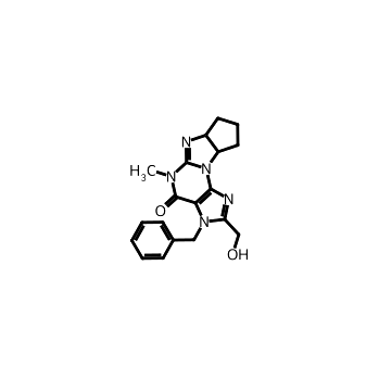 CN1C(=O)c2c(nc(CO)n2Cc2ccccc2)N2C1=NC1CCCC12